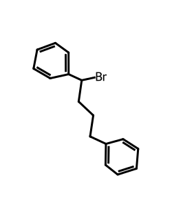 BrC(CCCc1ccccc1)c1ccccc1